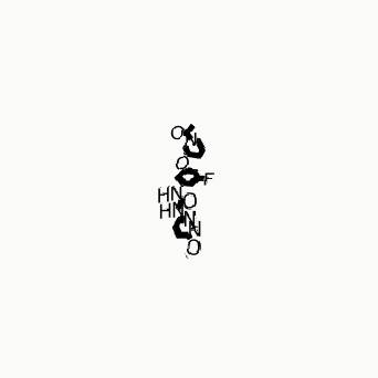 COc1ccc(NC(=O)Nc2cc(F)cc(OC3CCCN(C(C)=O)C3)c2)nn1